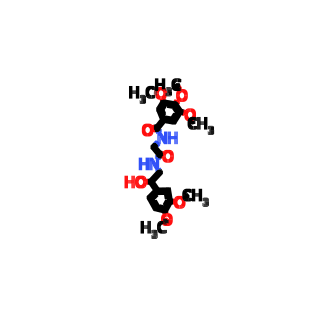 COc1ccc(C(O)CNC(=O)CNC(=O)c2cc(OC)c(OC)c(OC)c2)cc1OC